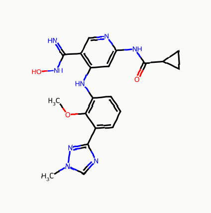 COc1c(Nc2cc(NC(=O)C3CC3)ncc2C(=N)NO)cccc1-c1ncn(C)n1